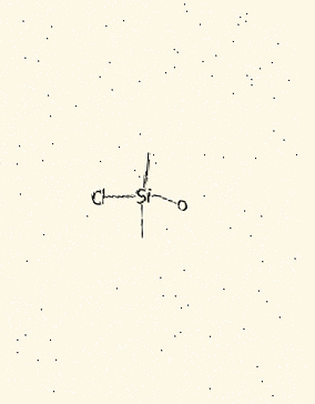 C[Si](C)([O])Cl